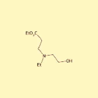 CCOC(=O)CCN(CC)CCO